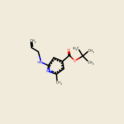 C=CCNc1cc(C(=O)OC(C)(C)C)cc(C)n1